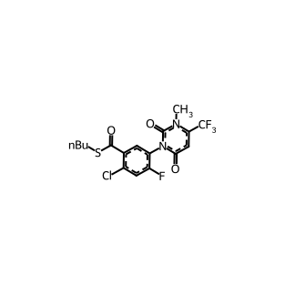 CCCCSC(=O)c1cc(-n2c(=O)cc(C(F)(F)F)n(C)c2=O)c(F)cc1Cl